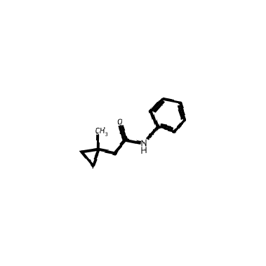 CC1(CC(=O)Nc2ccccc2)CC1